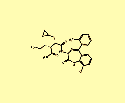 Cc1ccccc1C1=N[C@H](NC(=O)[C@@H](CC2CC2)[C@@H](CCC(F)(F)F)C(N)=O)C(=O)Nc2c(Cl)cccc21